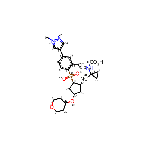 Cn1cc(-c2ccc(S(=O)(=O)[C@H]3CC[C@H](OC4CCOCC4)C3)c(C(F)(F)F)c2)cn1.N#CC1(NC(=O)O)CC1